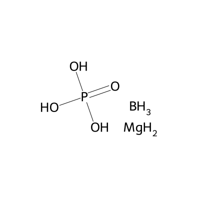 B.O=P(O)(O)O.[MgH2]